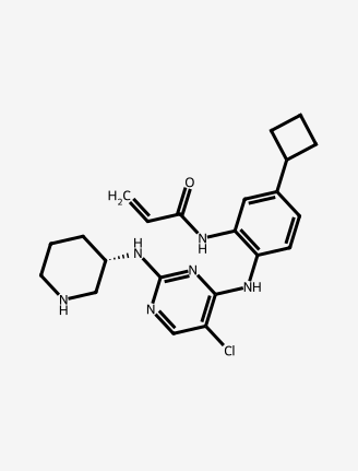 C=CC(=O)Nc1cc(C2CCC2)ccc1Nc1nc(N[C@H]2CCCNC2)ncc1Cl